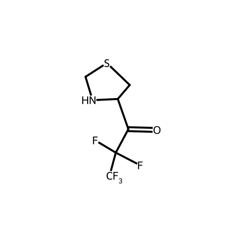 O=C(C1CSCN1)C(F)(F)C(F)(F)F